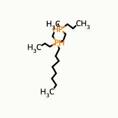 CCCCCCCC[PH]1(CCC)CC[PH](C)(CCC)CC1